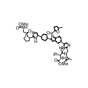 COC(=O)NCC(=O)N1CCCC1c1ncc(-c2ccc3c(c2)OC(c2ccc(C)o2)n2c-3cc3cc(-c4cnc(CN(C(=O)C(NC(=O)OC)C(C)C)C5C(C)[C@H]5C)[nH]4)ccc32)[nH]1